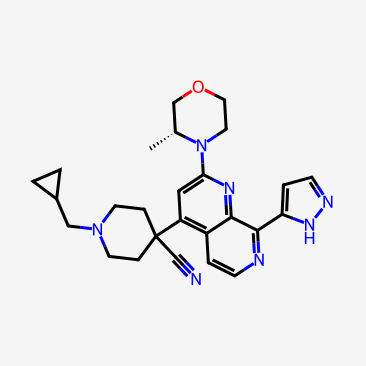 C[C@@H]1COCCN1c1cc(C2(C#N)CCN(CC3CC3)CC2)c2ccnc(-c3ccn[nH]3)c2n1